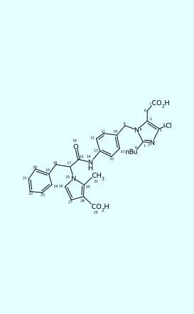 CCCCc1nc(Cl)c(CC(=O)O)n1Cc1ccc(NC(=O)C(Cc2ccccc2)n2ccc(C(=O)O)c2C)cc1